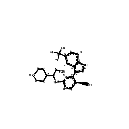 N#Cc1cnc(NC(CO)C2CCOCC2)nc1-c1c[nH]c2ncc(C(F)(F)F)cc12